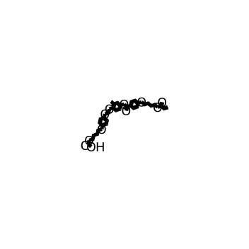 C=C=C(O)OCCCCOc1ccc(OCOc2ccc(OC(=O)c3ccc(OCCCCOC(=O)C=C)cc3)cc2C)cc1